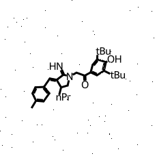 CCCC1CN(CC(=O)c2cc(C(C)(C)C)c(O)c(C(C)(C)C)c2)C(=N)/C1=C/c1ccc(C)cc1